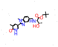 Cc1cc(-c2nc3cc(CN[C@H](C(=O)OCC(C)(C)C)[C@@H](C)O)ccc3n2C)c[nH]c1=O